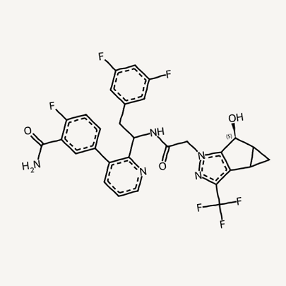 NC(=O)c1cc(-c2cccnc2C(Cc2cc(F)cc(F)c2)NC(=O)Cn2nc(C(F)(F)F)c3c2[C@@H](O)C2CC32)ccc1F